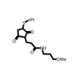 CCCSC1CC(=O)C(CCC(=O)NCCCOC)C1=O